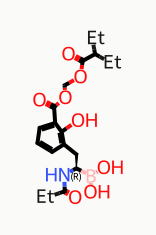 CCC(=O)N[C@@H](Cc1cccc(C(=O)OCOC(=O)C(CC)CC)c1O)B(O)O